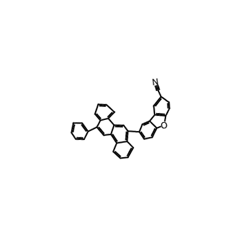 N#Cc1ccc2oc3ccc(-c4cc5c6ccccc6c(-c6ccccc6)cc5c5ccccc45)cc3c2c1